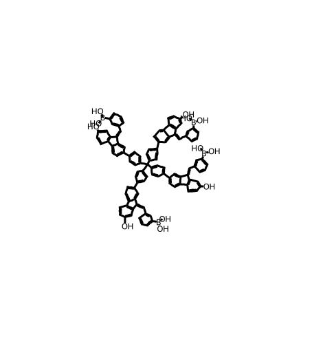 OB(O)c1cccc(/C=C2\c3cc(O)ccc3-c3ccc(-c4ccc(C(c5ccc(-c6ccc7c(c6)/C(=C/c6cccc(B(O)O)c6)c6cc(O)ccc6-7)cc5)(c5ccc(-c6ccc7c(c6)/C(=C/c6cccc(B(O)O)c6)c6cc(O)ccc6-7)cc5)c5ccc(-c6ccc7c(c6)/C(=C/c6cccc(B(O)O)c6)c6cc(O)ccc6-7)cc5)cc4)cc32)c1